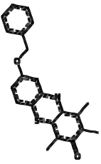 Cc1c2nc3cc(OCc4ccccc4)ccc3sc-2c(C)c(=O)c1C